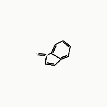 S=S1C=Cc2ccccc21